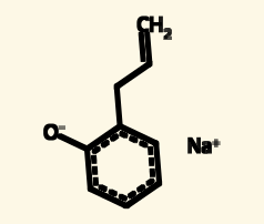 C=CCc1ccccc1[O-].[Na+]